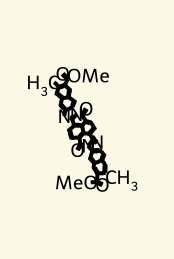 COC(=O)c1cc2cc3c(cc2cc1C)nc1c2ccc4c(=O)n5c6cc7cc(C(=O)OC)c(C)cc7cc6nc5c5ccc(c(=O)n31)c2c45